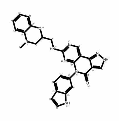 CN1CC(CNc2ncc3c4n[nH]cc4c(=O)n(-c4ccc5cc[nH]c5c4)c3n2)Oc2ccccc21